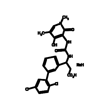 Cc1cn(C)c(=O)c(NC(=O)NC(CC(=O)O)c2cccc(-c3cc(Cl)ccc3Cl)c2)c1O.[NaH]